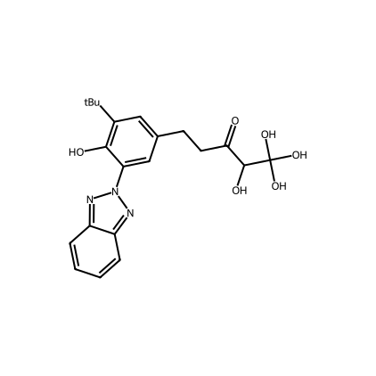 CC(C)(C)c1cc(CCC(=O)C(O)C(O)(O)O)cc(-n2nc3ccccc3n2)c1O